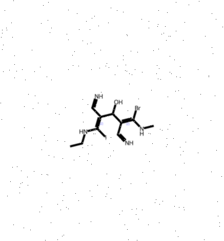 CCN/C(I)=C(\C=N)C(O)/C(C=N)=C(\Br)NC